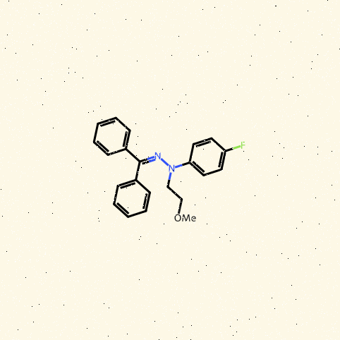 COCCN(N=C(c1ccccc1)c1ccccc1)c1ccc(F)cc1